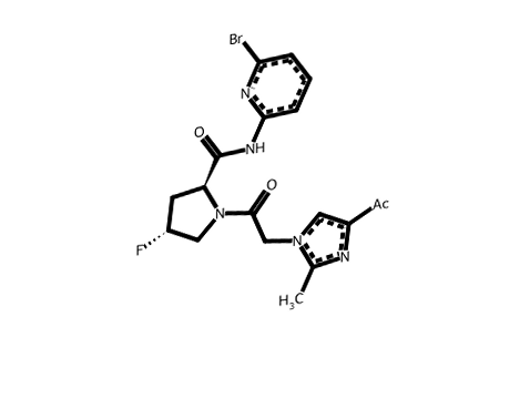 CC(=O)c1cn(CC(=O)N2C[C@H](F)C[C@H]2C(=O)Nc2cccc(Br)n2)c(C)n1